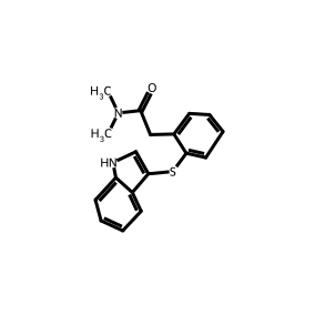 CN(C)C(=O)Cc1ccccc1Sc1c[nH]c2ccccc12